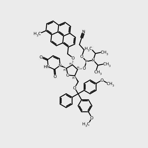 COc1ccc(C(OC[C@H]2O[C@@H](n3ccc(=O)[nH]c3=O)[C@H](OCc3ccc4ccc5ccc(C)c6ccc3c4c56)[C@@H]2OP(OCCC#N)N(C(C)C)C(C)C)(c2ccccc2)c2ccc(OC)cc2)cc1